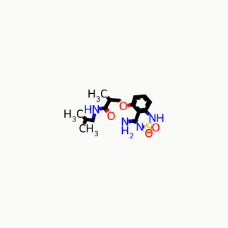 CC(C)CNC(=O)C(C)COc1cccc2c1C(N)=NS(=O)(=O)N2